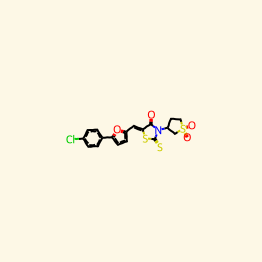 O=C1C(=Cc2ccc(-c3ccc(Cl)cc3)o2)SC(=S)N1C1CCS(=O)(=O)C1